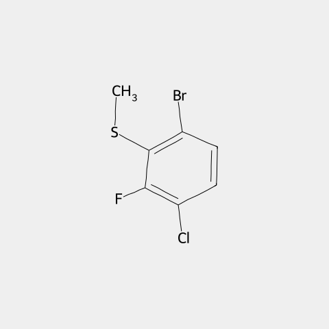 CSc1c(Br)ccc(Cl)c1F